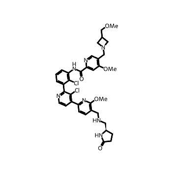 COCC1CN(Cc2cnc(C(=O)Nc3cccc(-c4nccc(-c5ccc(CNC[C@H]6CCC(=O)N6)c(OC)n5)c4Cl)c3Cl)cc2OC)C1